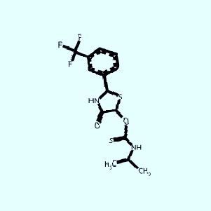 CC(C)NC(=S)OC1SC(c2cccc(C(F)(F)F)c2)NC1=O